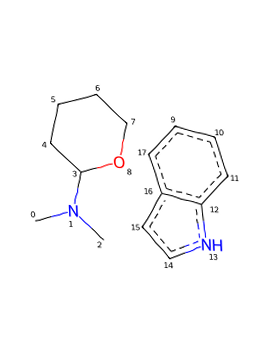 CN(C)C1CCCCO1.c1ccc2[nH]ccc2c1